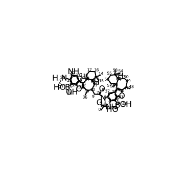 CC(=O)Nc1c(NC(=O)CC2C[C@@H]3C(C)(C)CCC[C@@]3(C)c3c(oc4c(B(O)O)c(N)c(N)cc34)C2C)cc2c3c(oc2c1B(O)O)C(C)CC[C@@H]1C(C)(C)CCC[C@@]31C